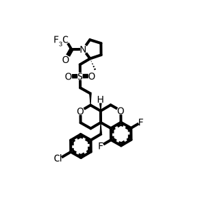 C[C@@]1(CS(=O)(=O)CC[C@@H]2OCC[C@@]3(Cc4ccc(Cl)cc4)c4c(F)ccc(F)c4OC[C@@H]23)CCCN1C(=O)C(F)(F)F